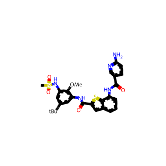 COc1c(NC(=O)c2cc3cccc(NC(=O)c4ccc(N)nc4)c3s2)cc(C(C)(C)C)cc1NS(C)(=O)=O